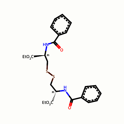 CCOC(=O)[C@H](CSSC[C@H](NC(=O)c1ccccc1)C(=O)OCC)NC(=O)c1ccccc1